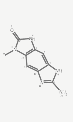 Cn1c(=O)[nH]c2cc3[nH]c(N)nc3cc21